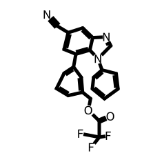 N#Cc1cc(-c2cccc(COC(=O)C(F)(F)F)c2)c2c(c1)ncn2-c1ccccc1